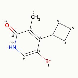 Cc1c(C2CCC2)c(Br)c[nH]c1=O